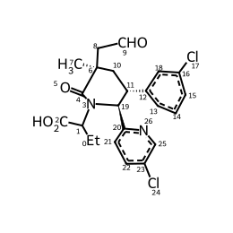 CCC(C(=O)O)N1C(=O)[C@@](C)(CC=O)C[C@H](c2cccc(Cl)c2)[C@H]1c1ccc(Cl)cn1